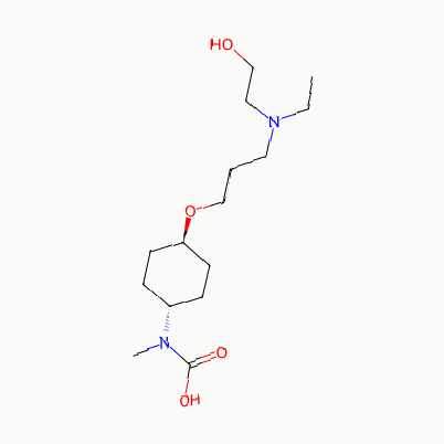 CCN(CCO)CCCO[C@H]1CC[C@H](N(C)C(=O)O)CC1